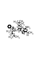 CNc1nc(N)nc2c1ncn2[C@@H]1O[C@H](CO[P@@](=O)(N[C@@H](C)C(=O)OC(C)C)Oc2ccccc2)[C@@H](OC(=O)OC(C)(C)C)[C@@]1(C)F